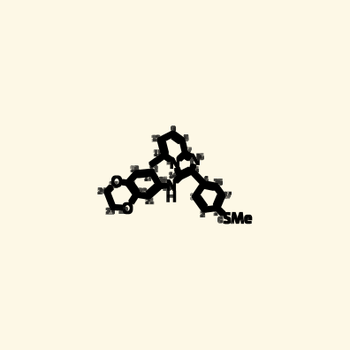 CSc1ccc(-c2nc3cccc(C)n3c2Nc2ccc3c(c2)OCCO3)cc1